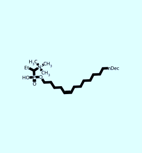 CCCCCCCCCCCCCCCCC/C=C\CCCCOP(=O)(O)C(CC)[N+](C)(C)C